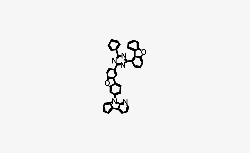 c1ccc(-c2nc(-c3ccc4oc5cc(-n6c7ccccc7c7cccnc76)ccc5c4c3)nc(-c3cccc4oc5ccccc5c34)n2)cc1